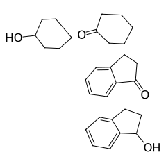 O=C1CCCCC1.O=C1CCc2ccccc21.OC1CCCCC1.OC1CCc2ccccc21